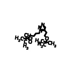 CC(C)(C)OCCc1cnnn1CCCCC(=O)C(C)(C)C